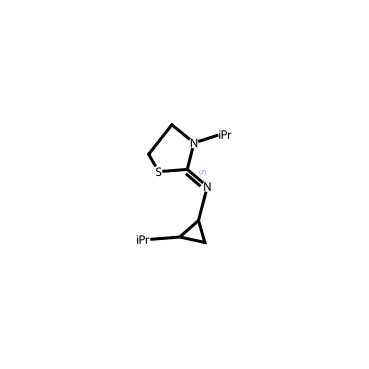 CC(C)C1CC1/N=C1\SCCN1C(C)C